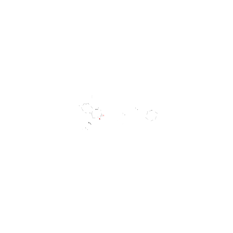 CC(C)(C)OC(=O)N1C2CCC1CN(c1nc(OCC3(CN4CCN(Cc5ccccc5)CC4)CC3)nc3c(F)c(Cl)ncc13)C2